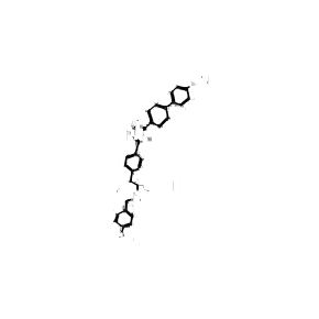 CC(C)(C)c1ccc(C(=O)N[C@@H](Cc2ccc(-c3noc(-c4ccc(-c5ccc(C#N)cc5)cc4)n3)cc2)C(=O)O)cc1